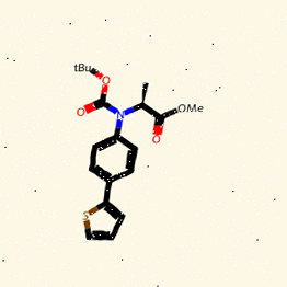 COC(=O)[C@H](C)N(C(=O)OC(C)(C)C)c1ccc(-c2cccs2)cc1